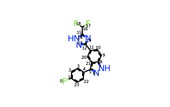 Fc1ccc(-c2n[nH]c3ccc(-c4n[nH]c(C(F)F)n4)cc23)cc1